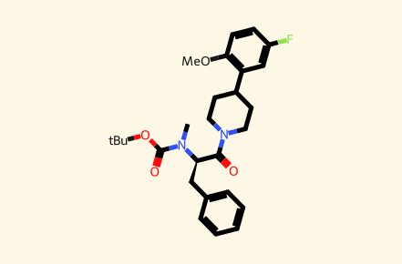 COc1ccc(F)cc1C1CCN(C(=O)[C@@H](Cc2ccccc2)N(C)C(=O)OC(C)(C)C)CC1